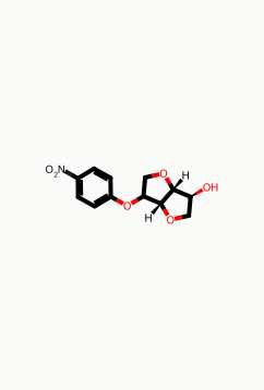 O=[N+]([O-])c1ccc(OC2CO[C@H]3[C@@H]2OC[C@@H]3O)cc1